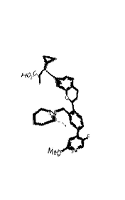 COc1cc(-c2ccc(C3CCc4ccc([C@H](C5CC5)[C@H](C)C(=O)O)cc4O3)c(CN3CCCC[C@H]3C)c2)c(F)cn1